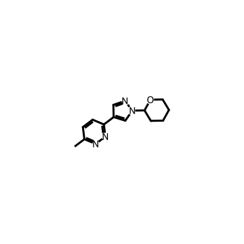 Cc1ccc(-c2cnn(C3CCCCO3)c2)nn1